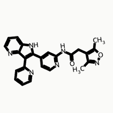 Cc1noc(C)c1CC(=O)Nc1cc(-c2[nH]c3cccnc3c2-c2ccccn2)ccn1